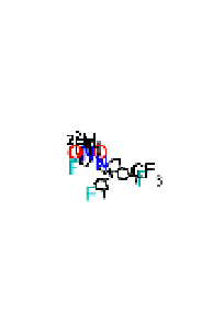 [2H]C([2H])([2H])N1C(=O)[C@@H](F)C[C@H]1C(=O)N1CCC2(Cc3ccc(F)c(C)c3)c3ccc(C(C)(F)C(F)(F)F)cc3CCC12